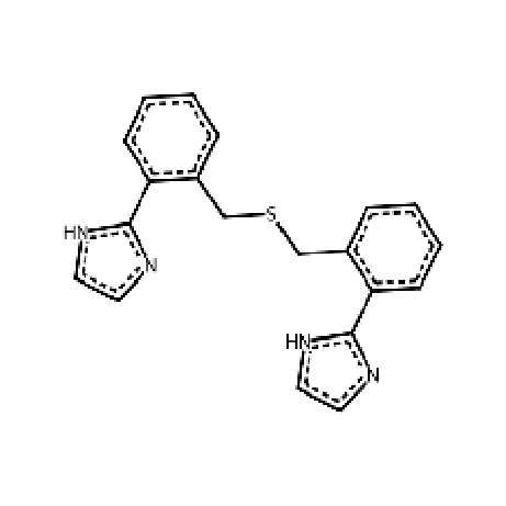 c1ccc(-c2ncc[nH]2)c(CSCc2ccccc2-c2ncc[nH]2)c1